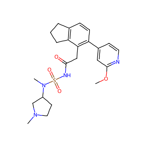 COc1cc(-c2ccc3c(c2CC(=O)NS(=O)(=O)N(C)C2CCN(C)C2)CCC3)ccn1